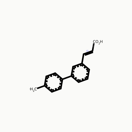 [CH2]c1ccc(-c2cccc(/C=C/C(=O)O)c2)cc1